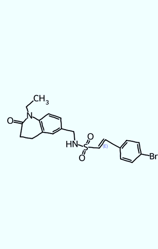 CCN1C(=O)CCc2cc(CNS(=O)(=O)/C=C/c3ccc(Br)cc3)ccc21